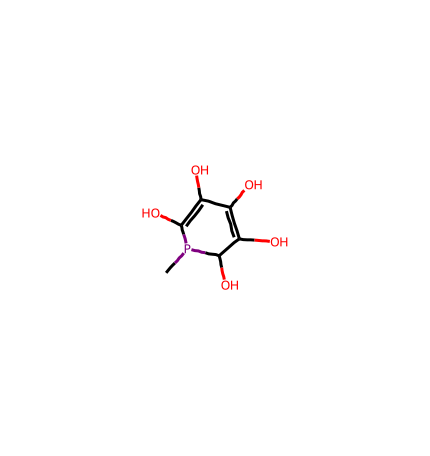 CP1C(O)=C(O)C(O)=C(O)C1O